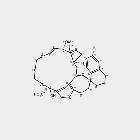 CO[C@H]1/C=C/CCCCC[C@@](O)(C(=O)O)c2ccc3c(c2)N(C[C@@H]2CC[C@H]21)C[C@@]1(CCCc2cc(Cl)ccc21)CO3